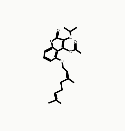 CC(=O)Oc1c(OC(C)C)c(=O)oc2cccc(OCC=C(C)CCC=C(C)C)c12